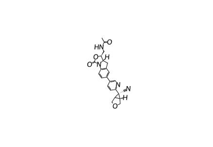 CC(=O)NC[C@@H]1OC(=O)N2c3ccc(-c4ccc([C@]5(C#N)C6COC[C@H]65)nc4)cc3C[C@@H]12